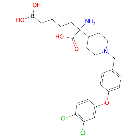 NC(CCCCB(O)O)(C(=O)O)C1CCN(Cc2ccc(Oc3ccc(Cl)c(Cl)c3)cc2)CC1